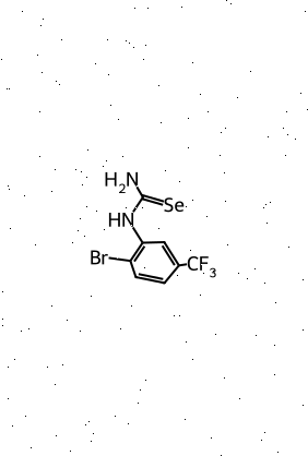 NC(=[Se])Nc1cc(C(F)(F)F)ccc1Br